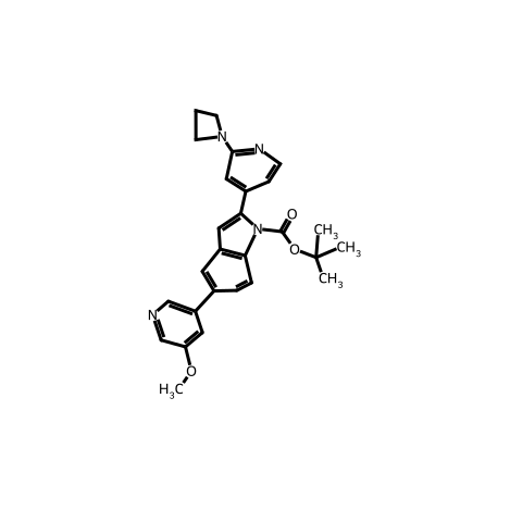 COc1cncc(-c2ccc3c(c2)cc(-c2ccnc(N4CCC4)c2)n3C(=O)OC(C)(C)C)c1